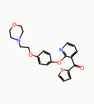 O=C(c1cccs1)c1cccnc1Oc1ccc(OCCN2CCOCC2)cc1